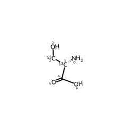 N[13C@@H]([13CH2]O)C(=O)O